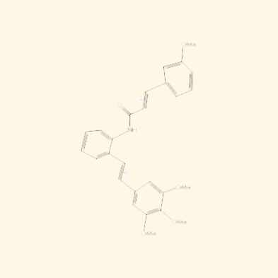 COc1cccc(/C=C/C(=O)Nc2ccccc2/C=C/c2cc(OC)c(OC)c(OC)c2)c1